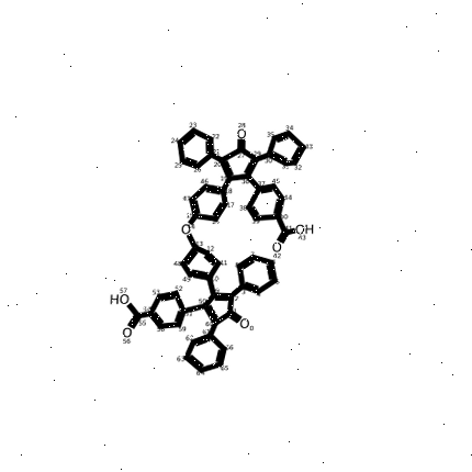 O=C1C(c2ccccc2)=C(c2ccc(Oc3ccc(C4=C(c5ccccc5)C(=O)C(c5ccccc5)=C4c4ccc(C(=O)O)cc4)cc3)cc2)C(c2ccc(C(=O)O)cc2)=C1c1ccccc1